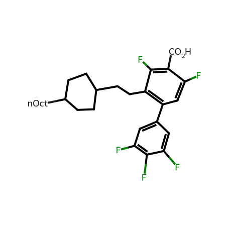 CCCCCCCCC1CCC(CCc2c(-c3cc(F)c(F)c(F)c3)cc(F)c(C(=O)O)c2F)CC1